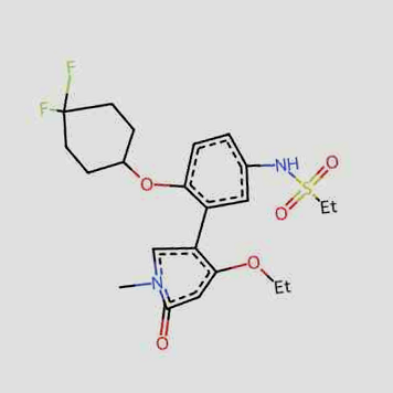 CCOc1cc(=O)n(C)cc1-c1cc(NS(=O)(=O)CC)ccc1OC1CCC(F)(F)CC1